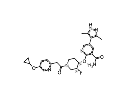 Cc1n[nH]c(C)c1-c1cnc(O[C@H]2CCN(C(=O)Cc3ccc(OC4CC4)cn3)C[C@@H]2F)c(C(N)=O)c1